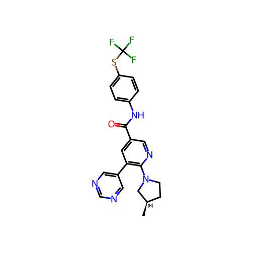 C[C@@H]1CCN(c2ncc(C(=O)Nc3ccc(SC(F)(F)F)cc3)cc2-c2cncnc2)C1